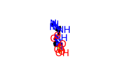 O=C(NOCC1C[C@H](n2ncnn2)CN1)[C@@H]1CCC2CN1C(=O)N2OS(=O)(=O)O